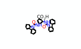 O=C(O)c1cc(NC(=O)n2c3ccccc3c3ccccc32)cc(NC(=O)n2c3ccccc3c3ccccc32)c1